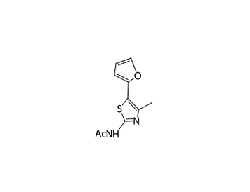 CC(=O)Nc1nc(C)c(-c2ccco2)s1